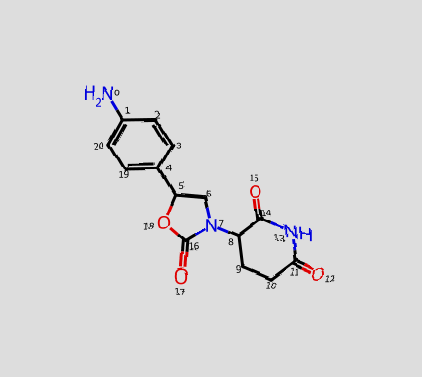 Nc1ccc(C2CN(C3CCC(=O)NC3=O)C(=O)O2)cc1